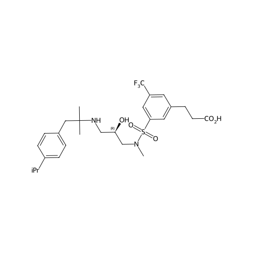 CC(C)c1ccc(CC(C)(C)NC[C@@H](O)CN(C)S(=O)(=O)c2cc(CCC(=O)O)cc(C(F)(F)F)c2)cc1